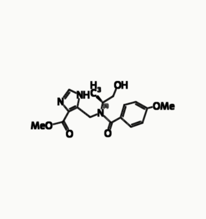 COC(=O)c1nc[nH]c1CN(C(=O)c1ccc(OC)cc1)[C@@H](C)CO